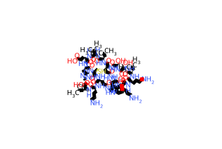 CC(C)C[C@H](NC(=O)[C@H](CCCCN)NC(=O)[C@H](CCC(N)=O)NC(=O)[C@H](CS)NC(=O)[C@H](Cc1c[nH]cn1)NC(=O)[C@H](CCC(=O)O)NC(=O)[C@@H](NC(=O)[C@H](CC(C)C)NC(=O)[C@H](CCC(N)=O)NC(=O)[C@H](CO)NC(=O)[C@H](CO)NC(=O)[C@H](CC(C)C)NC(=O)[C@H](CCCCN)NC(=O)[C@H](CCCCN)NC(=O)[C@@H](N)Cc1c[nH]c2ccccc12)C(C)C)C(=O)O